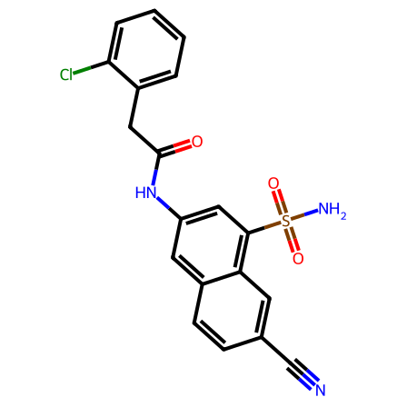 N#Cc1ccc2cc(NC(=O)Cc3ccccc3Cl)cc(S(N)(=O)=O)c2c1